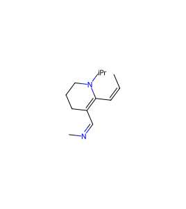 C/C=C\C1=C(/C=N\C)CCCN1C(C)C